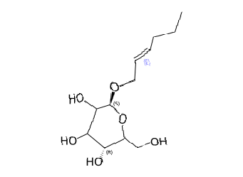 CCC/C=C/CO[C@H]1OC(CO)[C@H](O)C(O)C1O